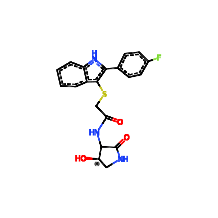 O=C(CSc1c(-c2ccc(F)cc2)[nH]c2ccccc12)NC1C(=O)NC[C@H]1O